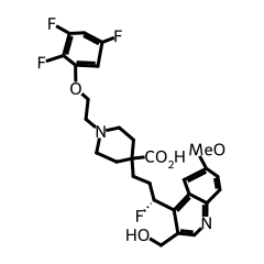 COc1ccc2ncc(CO)c([C@H](F)CCC3(C(=O)O)CCN(CCOc4cc(F)cc(F)c4F)CC3)c2c1